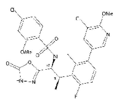 COc1cc(Cl)ccc1S(=O)(=O)N[C@H](c1n[nH]c(=O)o1)[C@H](C)c1c(F)ccc(-c2cnc(OC)c(Cl)c2)c1C